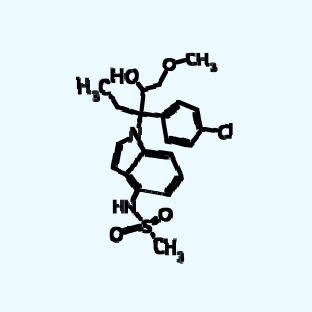 CCC(c1ccc(Cl)cc1)(C(O)COC)n1ccc2c(NS(C)(=O)=O)cccc21